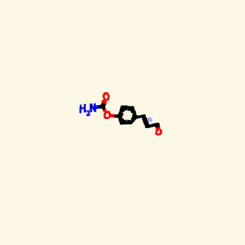 NC(=O)Oc1ccc(/C=C/C=O)cc1